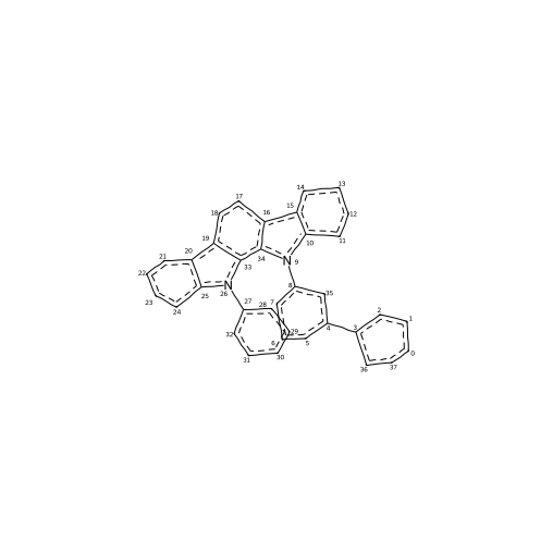 c1ccc(-c2cccc(-n3c4ccccc4c4ccc5c6ccccc6n(-c6ccccc6)c5c43)c2)cc1